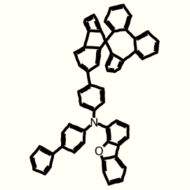 c1ccc(-c2ccc(N(c3ccc(-c4ccc5c(c4)C4(c6ccccc6-c6ccccc6-c6ccccc64)c4ccccc4-5)cc3)c3cccc4c3oc3ccccc34)cc2)cc1